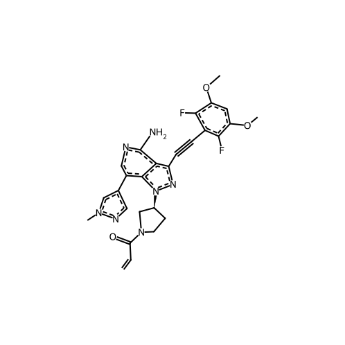 C=CC(=O)N1CC[C@H](n2nc(C#Cc3c(F)c(OC)cc(OC)c3F)c3c(N)ncc(-c4cnn(C)c4)c32)C1